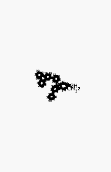 C=CC1(C)C=Cc2c(n(-c3cccc(-c4ccc5c6ccccc6c6ccccc6c5c4)c3)c3ccc(-c4ccccc4)cc23)C=C1